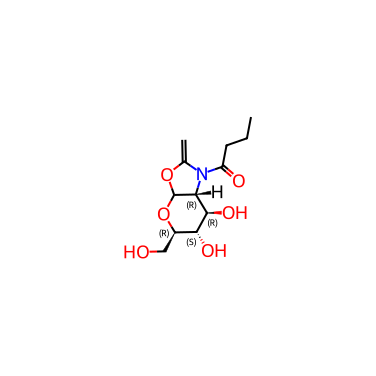 C=C1OC2O[C@H](CO)[C@@H](O)[C@H](O)[C@H]2N1C(=O)CCC